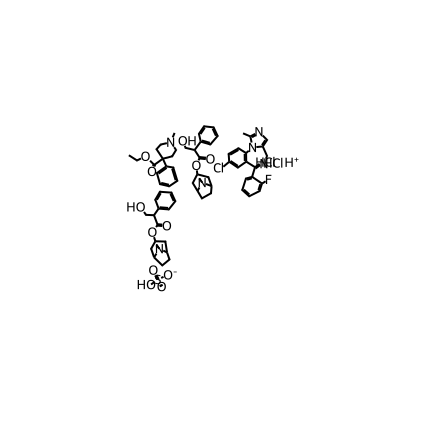 CCOC(=O)C1(c2ccccc2)CCN(C)CC1.CN1C2CCC1CC(OC(=O)C(CO)c1ccccc1)C2.CN1C2CCC1CC(OC(=O)C(CO)c1ccccc1)C2.Cc1ncc2n1-c1ccc(Cl)cc1C(c1ccccc1F)=NC2.Cl.Cl.O=S(=O)([O-])O.[H+]